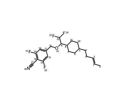 C/C=C/CCC1CCC(C(OCc2cc(F)c(C#N)c(F)c2)C(F)F)CC1